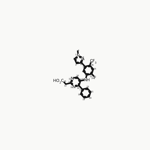 Cn1ccc(-c2cc(Nc3cnc(CC(=O)O)nc3-c3ccccc3)c(F)cc2C(F)(F)F)n1